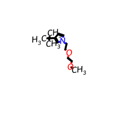 COCCOCCn1ccc(C(C)(C)C)c1